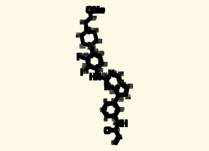 C=CC(=O)Nc1cccc(-c2ccn3cnc(Nc4ccc(N5CCN(CCOC)CC5)c(F)c4F)nc23)c1